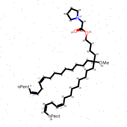 CCCCC/C=C\C/C=C\CCCCCCCCC(CCCCCCCC/C=C\C/C=C\CCCCC)(CCCCOC(=O)CN1CCCC1)OC